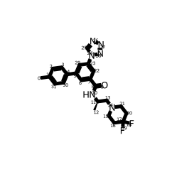 Cc1ccc(-c2cc(C(=O)N[C@H](C)CN3CCC(F)(F)CC3)cc(-n3cnnn3)c2)cc1